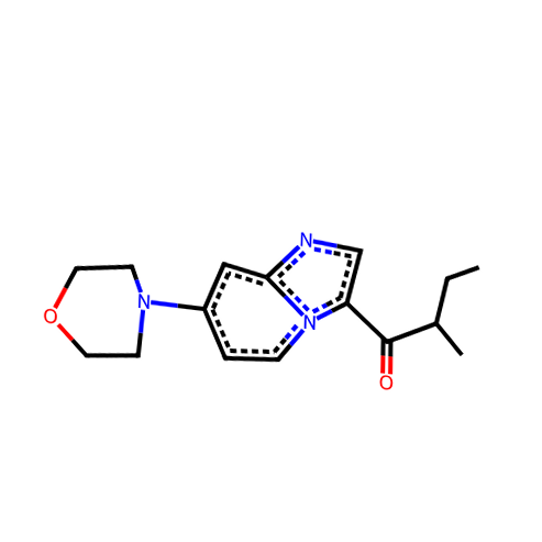 CCC(C)C(=O)c1cnc2cc(N3CCOCC3)ccn12